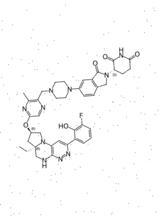 CC[C@@]12CNc3nnc(-c4cccc(F)c4O)cc3N1C[C@H](Oc1cnc(CN3CCN(c4ccc5c(c4)C(=O)N([C@H]4CCC(=O)NC4=O)C5)CC3)c(C)n1)C2